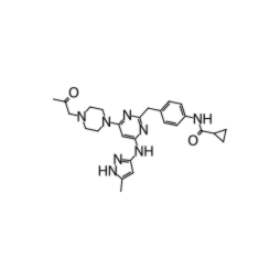 CC(=O)CN1CCN(c2cc(Nc3cc(C)[nH]n3)nc(Cc3ccc(NC(=O)C4CC4)cc3)n2)CC1